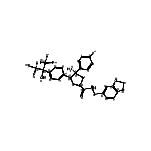 C[C@]1(c2ccc(F)cc2)CN(C(=O)NCc2ccc3c(c2)OCO3)C[C@H]1c1ccc(C(O)(C(F)(F)F)C(F)(F)F)cc1